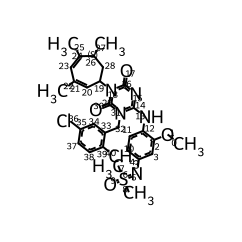 COc1cc(N=S(C)(C)=O)ccc1Nc1nc(=O)n(C2C=C(C)C=C(C)[C@@H](C)C2)c(=O)n1Cc1cc(Cl)ccc1C